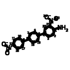 Nc1ccc(-c2ccc(-c3ccc([N+](=O)[O-])cc3)cc2)cc1[N+](=O)[O-]